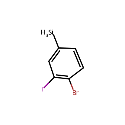 [SiH3]c1ccc(Br)c(I)c1